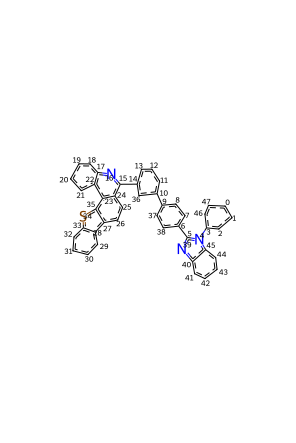 c1ccc(-n2c(-c3ccc(-c4cccc(-c5nc6ccccc6c6c5ccc5c7ccccc7sc56)c4)cc3)nc3ccccc32)cc1